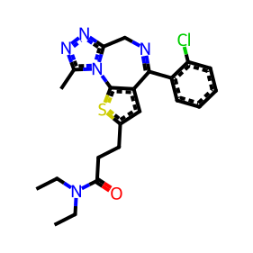 CCN(CC)C(=O)CCc1cc2c(s1)-n1c(C)nnc1CN=C2c1ccccc1Cl